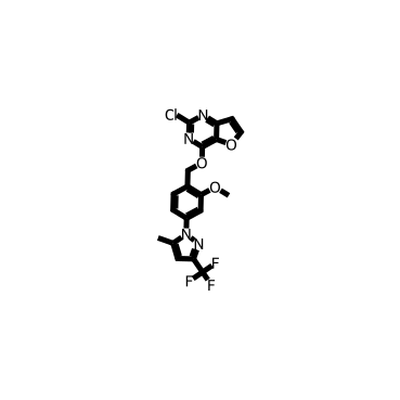 COc1cc(-n2nc(C(F)(F)F)cc2C)ccc1COc1nc(Cl)nc2ccoc12